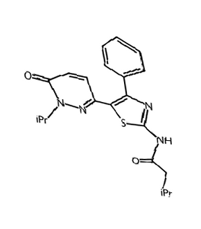 CC(C)CC(=O)Nc1nc(-c2ccccc2)c(-c2ccc(=O)n(C(C)C)n2)s1